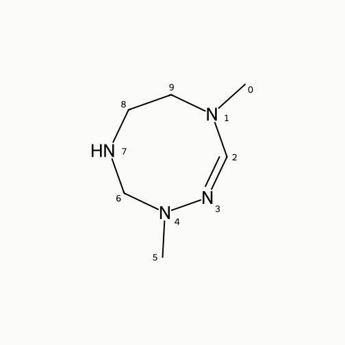 CN1C=NN(C)CNCC1